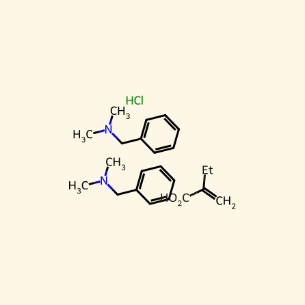 C=C(CC)C(=O)O.CN(C)Cc1ccccc1.CN(C)Cc1ccccc1.Cl